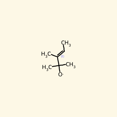 C/C=C(\C)C(C)(C)[O]